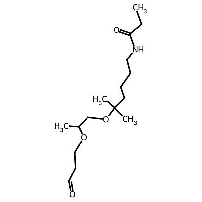 CCC(=O)NCCCCC(C)(C)OCC(C)OCCC=O